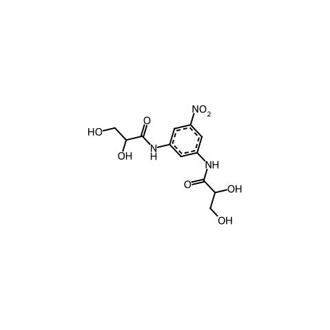 O=C(Nc1cc(NC(=O)C(O)CO)cc([N+](=O)[O-])c1)C(O)CO